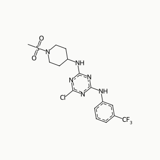 CS(=O)(=O)N1CCC(Nc2nc(Cl)nc(Nc3cccc(C(F)(F)F)c3)n2)CC1